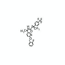 C[C@@H](NC(=O)C1C[C@]1(C)c1ccc(C(F)(F)F)cc1)c1ccc(OCc2ccccc2F)nc1